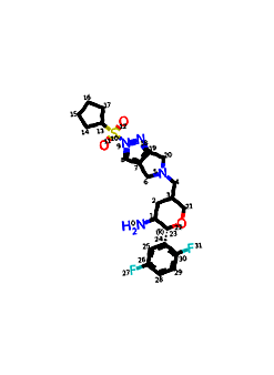 NC1CC(CN2Cc3cn(S(=O)(=O)C4CCCC4)nc3C2)CO[C@@H]1c1cc(F)ccc1F